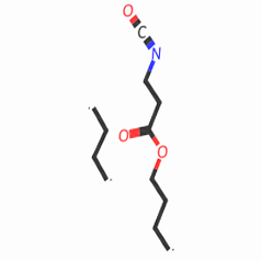 [CH2]CCCOC(=O)CCN=C=O.[CH2]CC[CH2]